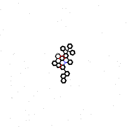 c1ccc(C2(c3ccccc3)c3ccccc3-c3ccc(-c4ccccc4N(c4cccc(-c5cccc6c5ccc5ccccc56)c4)c4ccccc4-c4cccc5cccc(C6CCCCC6)c45)cc32)cc1